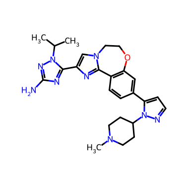 CC(C)n1nc(N)nc1-c1cn2c(n1)-c1ccc(-c3ccnn3C3CCN(C)CC3)cc1OCC2